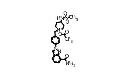 CS(=O)(=O)NC1CC[N+](Cc2ccc(-n3cc4cccc(C(N)=O)c4n3)cc2)(OC(=O)C(F)(F)F)CC1